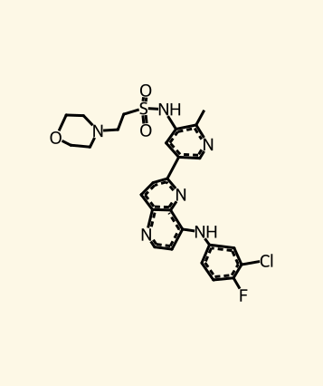 Cc1ncc(-c2ccc3nccc(Nc4ccc(F)c(Cl)c4)c3n2)cc1NS(=O)(=O)CCN1CCOCC1